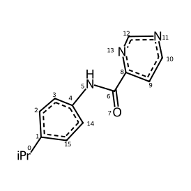 CC(C)c1ccc(NC(=O)c2ccncn2)cc1